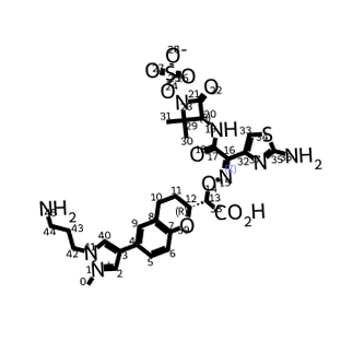 C[n+]1cc(-c2ccc3c(c2)CC[C@H](C(O/N=C(\C(=O)N[C@@H]2C(=O)N(OS(=O)(=O)[O-])C2(C)C)c2csc(N)n2)C(=O)O)O3)cn1CCCN